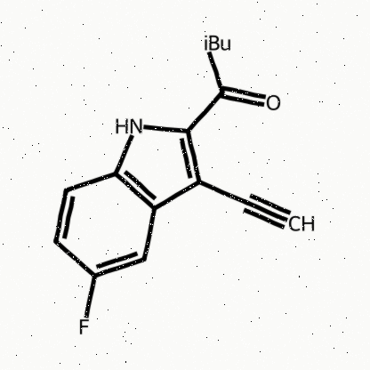 C#Cc1c(C(=O)C(C)CC)[nH]c2ccc(F)cc12